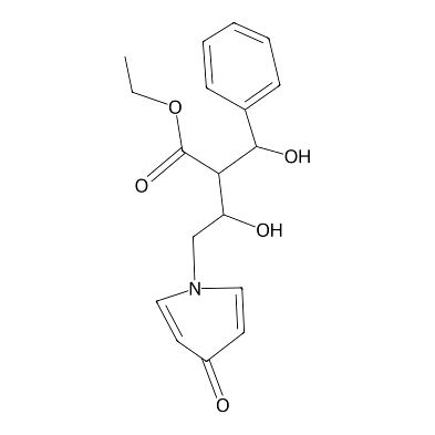 CCOC(=O)C(C(O)Cn1ccc(=O)cc1)C(O)c1ccccc1